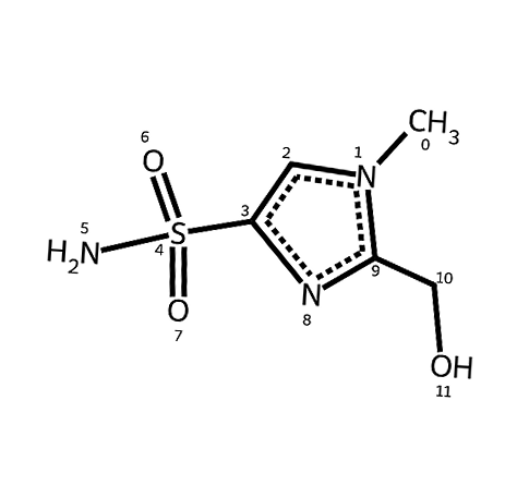 Cn1cc(S(N)(=O)=O)nc1CO